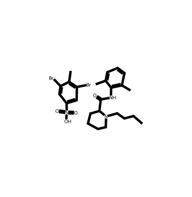 CCCCN1CCCCC1C(=O)Nc1c(C)cccc1C.Cc1c(Br)cc(S(=O)(=O)O)cc1Br